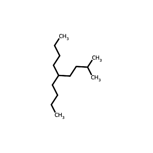 CCCCC(CCCC)CCC(C)C